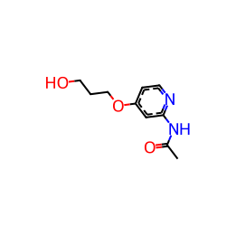 CC(=O)Nc1cc(OCCCO)ccn1